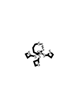 C1CSS[S][Sb]([S]C2CCS2)[C](SC2CCS2)(SC2CCS2)C1